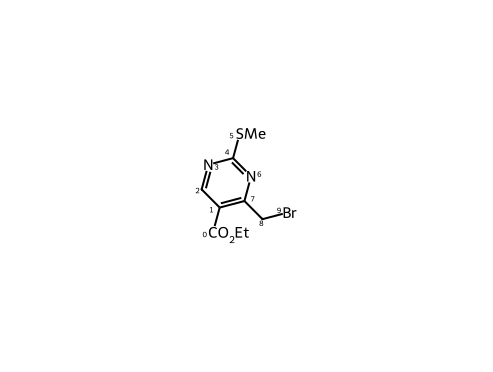 CCOC(=O)c1cnc(SC)nc1CBr